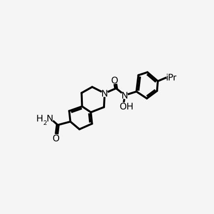 CC(C)c1ccc(N(O)C(=O)N2CCC3=CC(C(N)=O)CC=C3C2)cc1